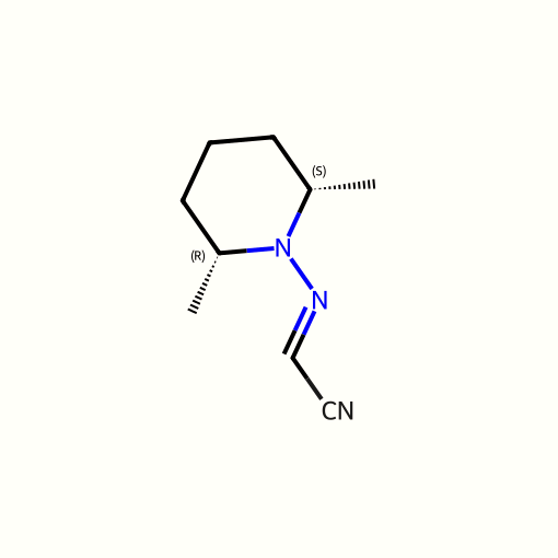 C[C@@H]1CCC[C@H](C)N1N=CC#N